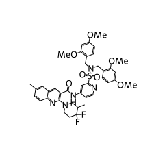 COc1ccc(CN(Cc2ccc(OC)cc2OC)S(=O)(=O)c2cc(NC(=O)c3cc4cc(C)ccc4nc3N3CCC(F)(F)C(C)C3)ccn2)c(OC)c1